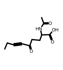 CCC#CC(=O)CCC(NC(C)=O)C(=O)O